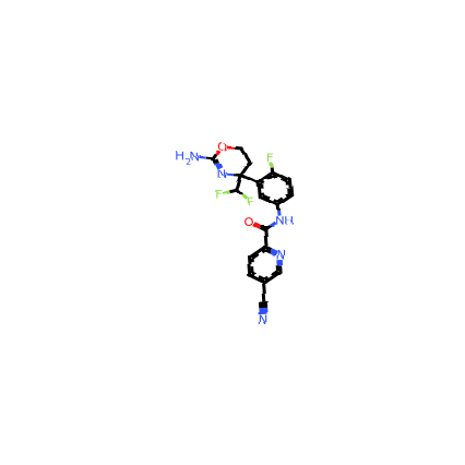 N#Cc1ccc(C(=O)Nc2ccc(F)c(C3(C(F)F)CCOC(N)=N3)c2)nc1